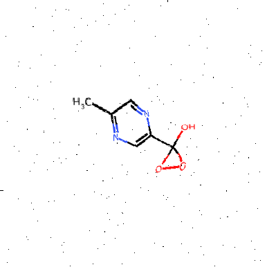 Cc1cnc(C2(O)OO2)cn1